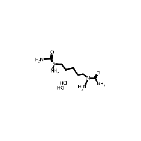 Cl.Cl.NC(=O)N(N)CCCCCN(N)C(N)=O